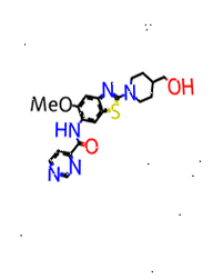 COc1cc2nc(N3CCC(CO)CC3)sc2cc1NC(=O)c1ccncn1